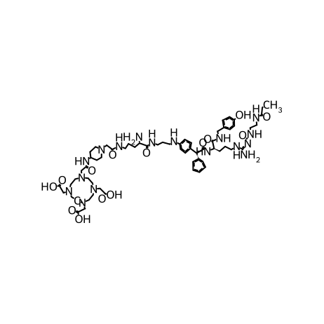 CCC(=O)NCCNC(=O)/N=C(/N)NCCC[C@@H](NC(=O)[C@H](c1ccccc1)c1ccc(NCCCNC(=O)[C@H](N)CCCNC(=O)CN2CCC(NC(=O)CN3CCN(CC(=O)O)CCN(CC(=O)O)CCN(CC(=O)O)CC3)CC2)cc1)C(=O)NCc1ccc(O)cc1